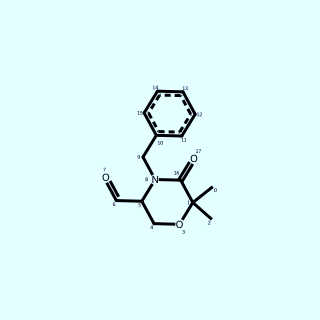 CC1(C)OCC(C=O)N(Cc2ccccc2)C1=O